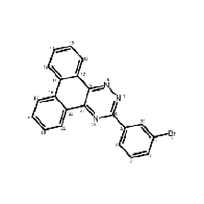 Brc1cccc(-c2nnc3c4ccccc4c4ccccc4c3n2)c1